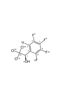 O[C@H](c1c(F)c(F)c(F)c(F)c1F)C(Cl)(Cl)Cl